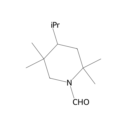 CC(C)C1CC(C)(C)N(C=O)CC1(C)C